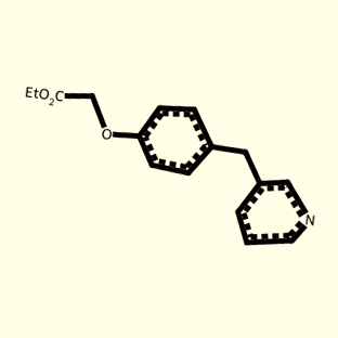 CCOC(=O)COc1ccc(Cc2cccnc2)cc1